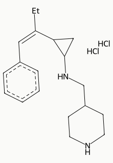 CCC(=Cc1ccccc1)C1CC1NCC1CCNCC1.Cl.Cl